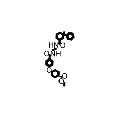 CCOC(=O)[C@H]1CC[C@@H](Oc2ccc(C(=O)NCCNC(=O)C3=CC(C)(c4ccccc4)CC=C3)cc2)CC1